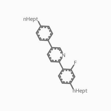 CCCCCCCc1ccc(-c2ccc(-c3ccc(CCCCCCC)cc3F)nc2)cc1